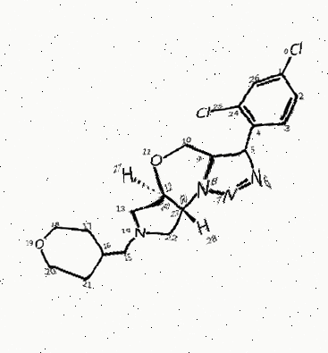 Clc1ccc(C2N=NN3C2CO[C@@H]2CN(CC4CCOCC4)C[C@H]23)c(Cl)c1